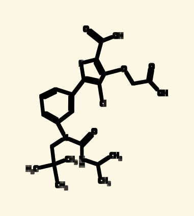 CC(C)NC(=O)N(CC(C)(C)C)c1cccc(-c2sc(C(=O)O)c(OCC(=O)O)c2Cl)c1